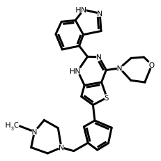 CN1CCN(Cc2cccc(-c3cc4c(s3)C(N3CCOCC3)=NC(c3cccc5[nH]ncc35)N4)c2)CC1